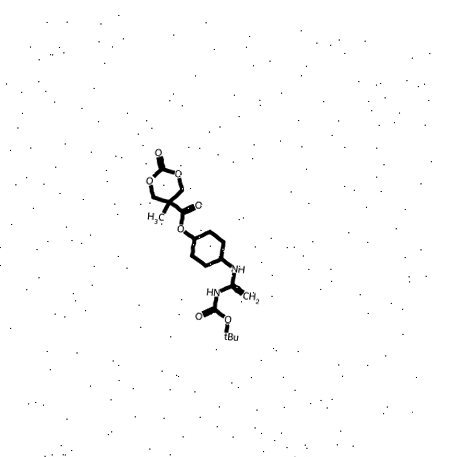 C=C(NC(=O)OC(C)(C)C)NC1CCC(OC(=O)C2(C)COC(=O)OC2)CC1